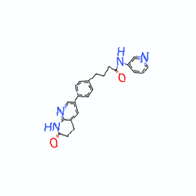 O=C(CCCc1ccc(-c2cnc3c(c2)CCC(=O)N3)cc1)Nc1cccnc1